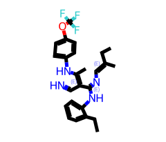 CC/C(C)=C/N=C(Nc1ccccc1CC)\C(C=N)=C(/C)Nc1ccc(OC(F)(F)F)cc1